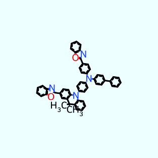 CC1(C)c2ccccc2N(c2ccc(N(c3ccc(-c4ccccc4)cc3)c3ccc(-c4nc5ccccc5o4)cc3)cc2)c2ccc(-c3nc4ccccc4o3)cc21